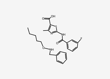 CCCCCONCc1ccccc1.Cc1nc(NC(=O)c2cccc(F)c2)sc1C(=O)O